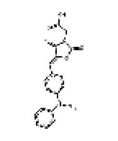 CN(c1ccccc1)c1ccc(/C=C2\SC(=S)N(CC(=O)O)C2=O)cc1